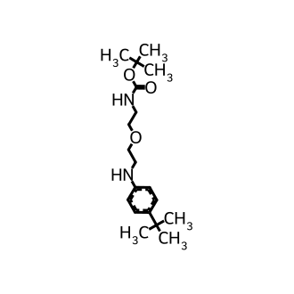 CC(C)(C)OC(=O)NCCOCCNc1ccc(C(C)(C)C)cc1